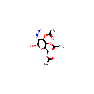 CC(=O)OC[C@H]1O[C@H](O)[C@H](N=[N+]=[N-])[C@@H](OC(C)=O)[C@@H]1OC(C)=O